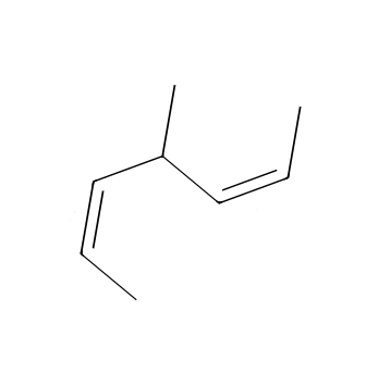 C/C=C\C(C)/C=C\C